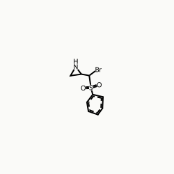 O=S(=O)(c1ccccc1)C(Br)C1CN1